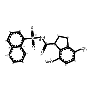 COc1ccc(C(F)(F)F)c2c1C(C(=O)NS(=O)(=O)c1cccc3ncccc13)CC2